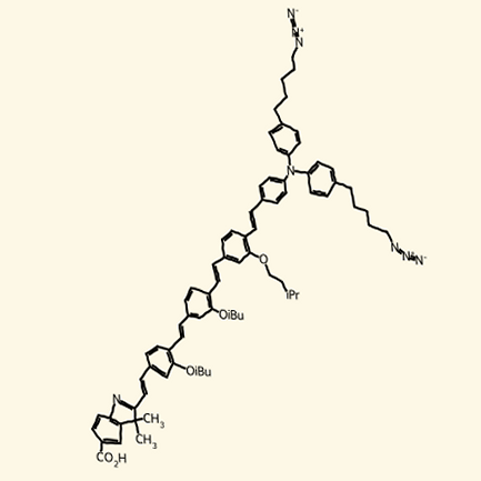 CC(C)CCOc1cc(/C=C/c2ccc(/C=C/c3ccc(/C=C/C4=Nc5ccc(C(=O)O)cc5C4(C)C)cc3OCC(C)C)cc2OCC(C)C)ccc1/C=C/c1ccc(N(c2ccc(CCCCCN=[N+]=[N-])cc2)c2ccc(CCCCCN=[N+]=[N-])cc2)cc1